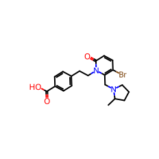 CC1CCCN1Cc1c(Br)ccc(=O)n1CCc1ccc(C(=O)O)cc1